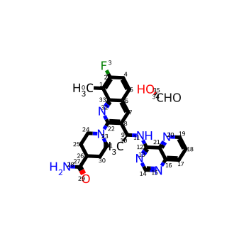 Cc1c(F)ccc2cc([C@H](C)Nc3ncnc4cccnc34)c(N3CCC(C(N)=O)CC3)nc12.O=CO